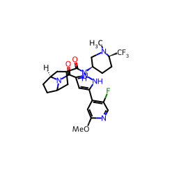 COc1cc(-c2cc(C(=O)N3C4CC[C@H]3CC(C(=O)N[C@@H]3CC[C@H](C(F)(F)F)N(C)C3)C4)n[nH]2)c(F)cn1